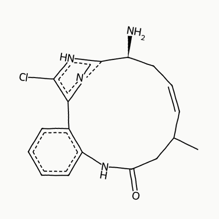 CC1/C=C\C[C@H](N)c2nc(c(Cl)[nH]2)-c2ccccc2NC(=O)C1